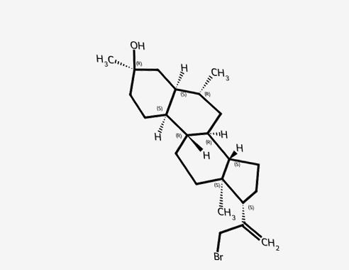 C=C(CBr)[C@H]1CC[C@H]2[C@@H]3C[C@@H](C)[C@@H]4C[C@](C)(O)CC[C@@H]4[C@H]3CC[C@]12C